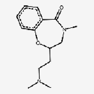 CN(C)CCC1CN(C)C(=O)c2ccccc2O1